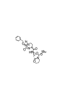 CC(C)(C)OC(=O)N1CCCO[C@@H]1CONC(=O)[C@@H]1CC[C@@H]2CN1C(=O)N2OCc1ccccc1